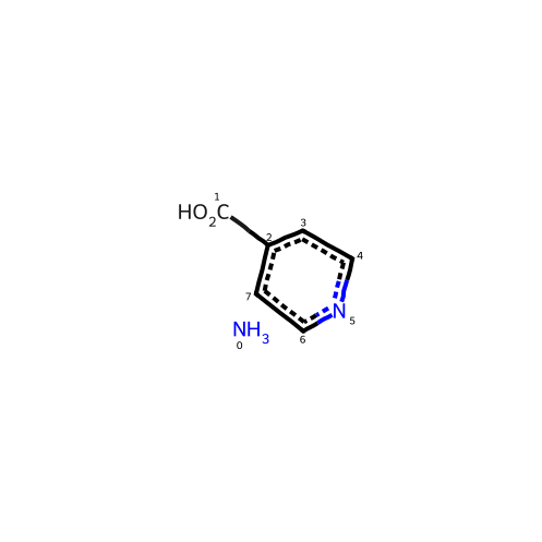 N.O=C(O)c1ccncc1